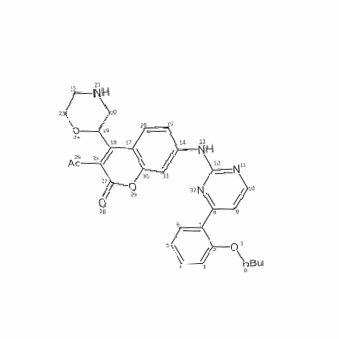 CCCCOc1ccccc1-c1ccnc(Nc2ccc3c(C4CNCCO4)c(C(C)=O)c(=O)oc3c2)n1